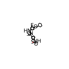 O=C1CSc2cc(-c3csc(Nc4ccc(OCC5CCCCC5)c(F)c4)n3)ccc2N1